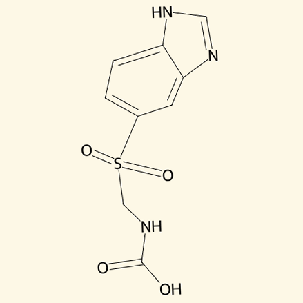 O=C(O)NCS(=O)(=O)c1ccc2[nH]cnc2c1